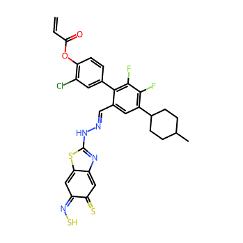 C=CC(=O)Oc1ccc(-c2c(/C=N/Nc3nc4c(s3)=C/C(=N/S)C(=S)C=4)cc(C3CCC(C)CC3)c(F)c2F)cc1Cl